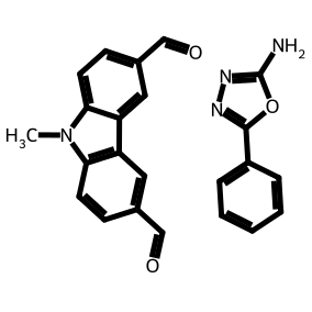 Cn1c2ccc(C=O)cc2c2cc(C=O)ccc21.Nc1nnc(-c2ccccc2)o1